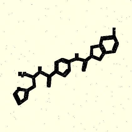 CC(Cc1ccco1)NC(=O)c1ccc(NC(=O)N2Cc3ccc(F)cc3C2)cc1